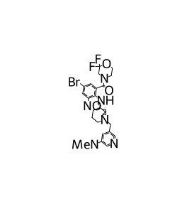 CNc1cncc(CN2CCC[C@@H](Nc3c(C(=O)N4CCOC(F)(F)C4)cc(Br)cc3[N+](=O)[O-])C2)c1